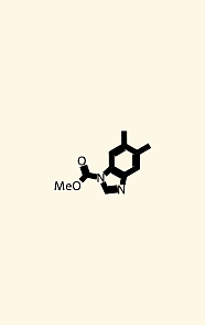 COC(=O)n1cnc2cc(C)c(C)cc21